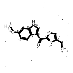 CCc1csc(C(=O)c2c[nH]c3cc(OC)ccc23)n1